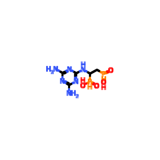 Nc1nc(N)nc(NC(C[PH](=O)O)[PH](=O)O)n1